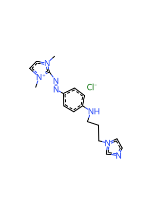 Cn1cc[n+](C)c1/N=N/c1ccc(NCCCn2ccnc2)cc1.[Cl-]